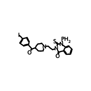 O=C(c1ccc(I)cc1)C1CCN(CCn2c(=O)c3ccccc3n(P)c2=S)CC1